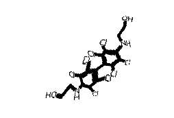 OCCNc1c(Cl)c(Cl)c(-c2c(Cl)c(Cl)c(NCCO)c(Cl)c2Cl)c(Cl)c1Cl